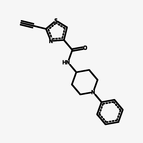 C#Cc1nc(C(=O)NC2CCN(c3ccccc3)CC2)cs1